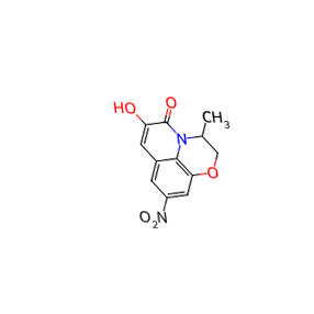 CC1COc2cc([N+](=O)[O-])cc3cc(O)c(=O)n1c23